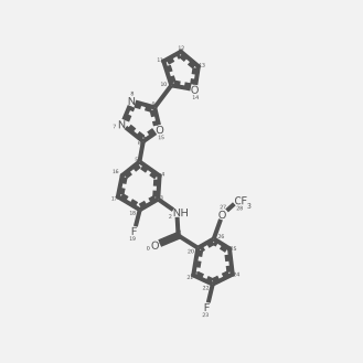 O=C(Nc1cc(-c2nnc(-c3ccco3)o2)ccc1F)c1cc(F)ccc1OC(F)(F)F